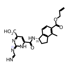 C=CCOC(=O)c1ccc2c(c1C)CC[C@@H]2NC(=O)c1cc(C(=O)O)n/c(=N/C=N)[nH]1